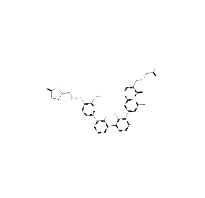 COc1nc(-c2cccc(-c3cccc(-c4cc(C)n5c(=O)c(CNCC(=O)O)cnc5c4)c3Cl)c2Cl)ccc1CNCC1CCC(=O)N1